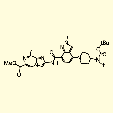 CCN(C(=O)OC(C)(C)C)C1CCN(c2ccc(C(=O)Nc3cn4cc(C(=O)OC)nc(C)c4n3)c3nn(C)cc23)CC1